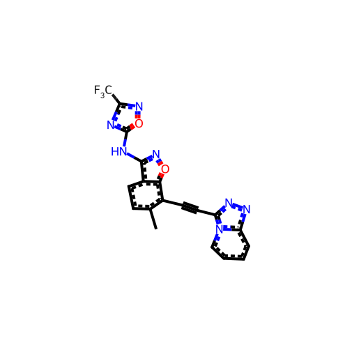 Cc1ccc2c(Nc3nc(C(F)(F)F)no3)noc2c1C#Cc1nnc2ccccn12